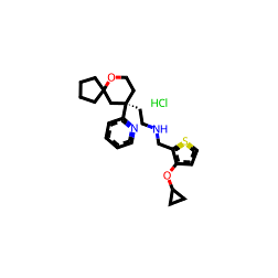 Cl.c1ccc([C@]2(CCNCc3sccc3OC3CC3)CCOC3(CCCC3)C2)nc1